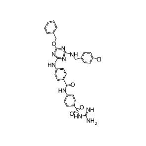 N=C(N)NS(=O)(=O)c1ccc(NC(=O)c2ccc(Nc3nc(NCc4ccc(Cl)cc4)nc(OCc4ccccc4)n3)cc2)cc1